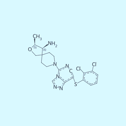 C[C@@H]1OCC2(CCN(c3ncc(Sc4cccc(Cl)c4Cl)c4nncn34)CC2)[C@@H]1N